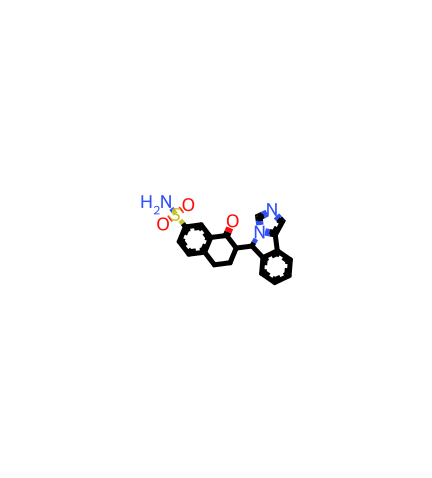 NS(=O)(=O)c1ccc2c(c1)C(=O)C(C1c3ccccc3-c3cncn31)CC2